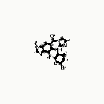 Cn1cnc2c(F)c(Nc3ccc(Br)cc3F)c(C(=O)n3ccnc3)cc21